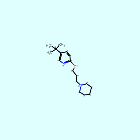 CC(C)(C)c1ccc(OCCCN2CCCCC2)nc1